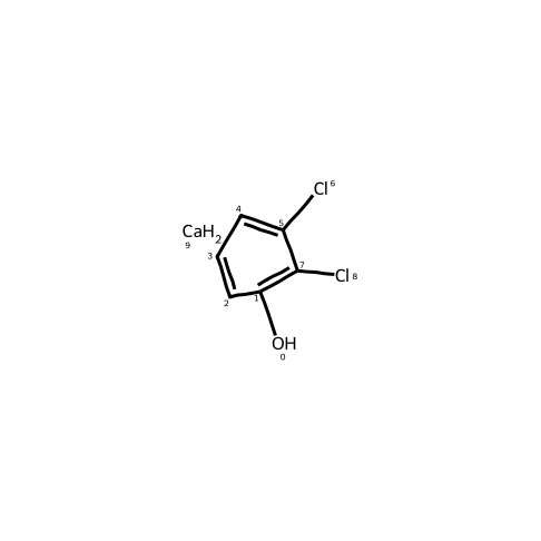 Oc1cccc(Cl)c1Cl.[CaH2]